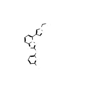 CCn1cc(-c2cccc3nc(Nc4cccc(C)n4)nn23)cn1